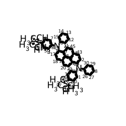 C[SH](C)(C)(C)c1ccc(N(c2ccccc2)c2ccc3ccc4c(N(c5ccccc5)c5ccc([SH](C)(C)(C)C)cc5)ccc5ccc2c3c54)cc1